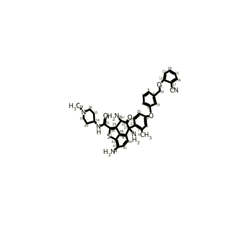 Cc1cc(Oc2cccc(COc3ccccc3C#N)c2)ccc1C1(N)C(=O)C(N)c2c(C(=O)NC3CCN(C)CC3)sc3c(N)ccc1c23